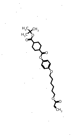 C=CC(=O)OCCCCCCOc1ccc(OC(=O)C2CCC(C(=O)OC(C)(C)C)CC2)cc1